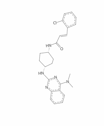 CN(C)c1nc(N[C@H]2CC[C@@H](NC(=O)/C=C/c3ccccc3Cl)CC2)nc2ccccc12